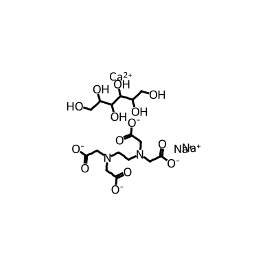 O=C([O-])CN(CCN(CC(=O)[O-])CC(=O)[O-])CC(=O)[O-].OCC(O)C(O)C(O)C(O)CO.[Ca+2].[Na+].[Na+]